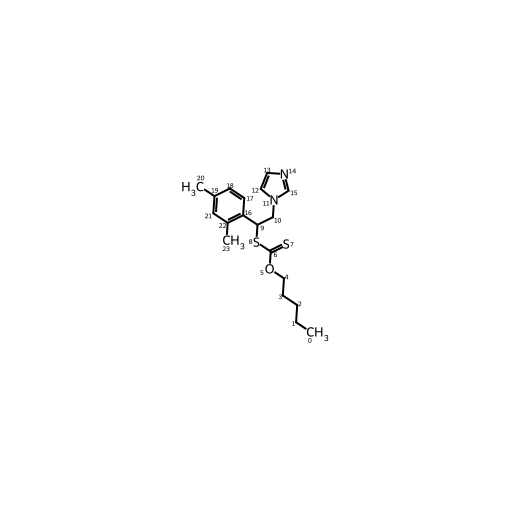 CCCCCOC(=S)SC(Cn1ccnc1)c1ccc(C)cc1C